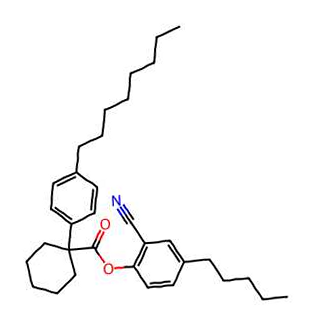 CCCCCCCCc1ccc(C2(C(=O)Oc3ccc(CCCCC)cc3C#N)CCCCC2)cc1